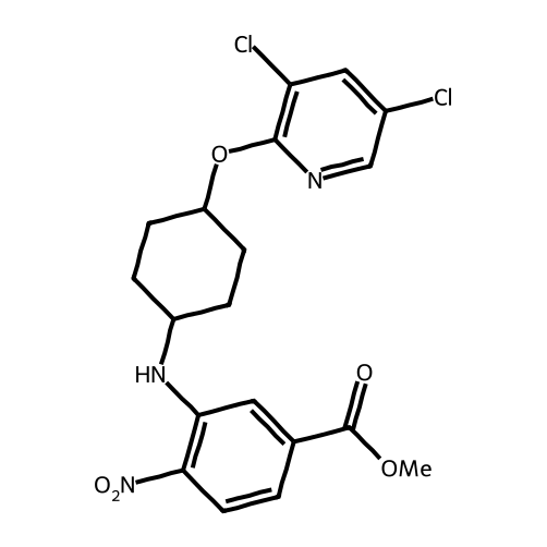 COC(=O)c1ccc([N+](=O)[O-])c(NC2CCC(Oc3ncc(Cl)cc3Cl)CC2)c1